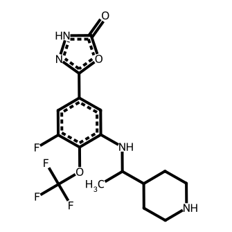 CC(Nc1cc(-c2n[nH]c(=O)o2)cc(F)c1OC(F)(F)F)C1CCNCC1